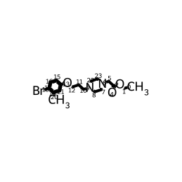 CCOC(=O)CN1CCN(CCCOc2ccc(Br)c(C)c2)CC1